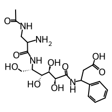 CC(=O)NCC(N)C(=O)N[C@@H](CO)[C@@H](O)[C@@H](O)[C@H](O)C(=O)NC(CC(=O)O)c1ccccc1